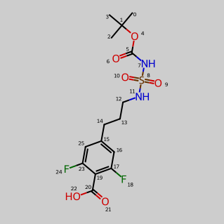 CC(C)(C)OC(=O)NS(=O)(=O)NCCCc1cc(F)c(C(=O)O)c(F)c1